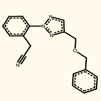 N#CCc1ccccc1-n1ncc(COCc2ccccc2)n1